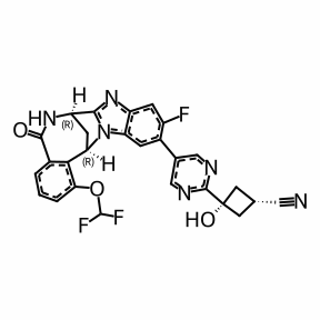 N#C[C@H]1C[C@](O)(c2ncc(-c3cc4c(cc3F)nc3n4[C@@H]4C[C@H]3NC(=O)c3cccc(OC(F)F)c34)cn2)C1